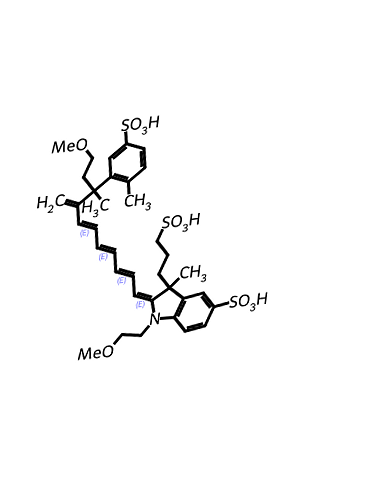 C=C(/C=C/C=C/C=C/C=C1/N(CCOC)c2ccc(S(=O)(=O)O)cc2C1(C)CCCS(=O)(=O)O)C(C)(CCOC)c1cc(S(=O)(=O)O)ccc1C